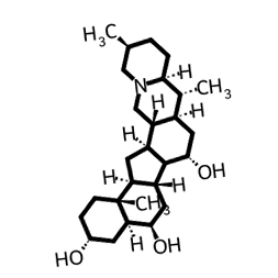 C[C@H]1CC[C@H]2[C@H](C)[C@H]3C[C@H](O)C4[C@@H](C[C@H]5[C@H]4C[C@@H](O)[C@H]4C[C@H](O)CC[C@@]45C)[C@@H]3CN2C1